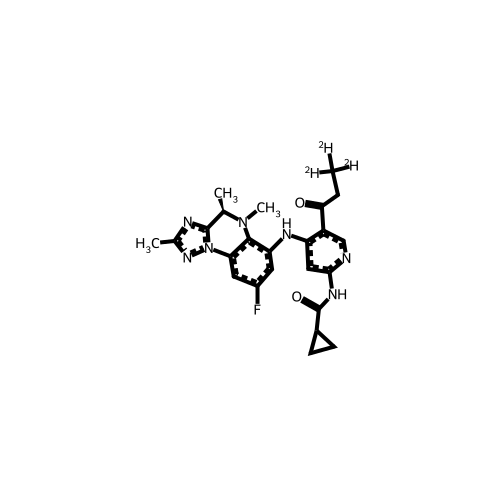 [2H]C([2H])([2H])CC(=O)c1cnc(NC(=O)C2CC2)cc1Nc1cc(F)cc2c1N(C)[C@H](C)c1nc(C)nn1-2